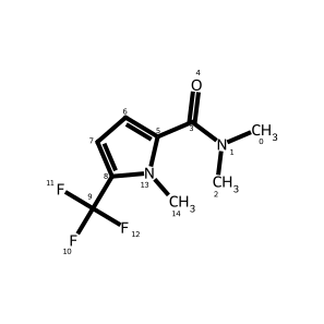 CN(C)C(=O)c1ccc(C(F)(F)F)n1C